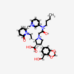 CCCCN(C(=O)CN1C[C@H](c2cc(CO)c3c(c2)OCO3)[C@@H](C(=O)O)[C@@H]1CCn1ccccc1=O)c1ccc[n+](C)c1